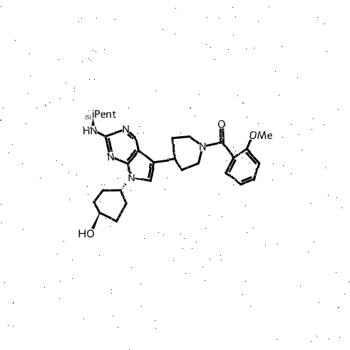 CCC[C@H](C)Nc1ncc2c(C3CCN(C(=O)c4ccccc4OC)CC3)cn([C@H]3CC[C@H](O)CC3)c2n1